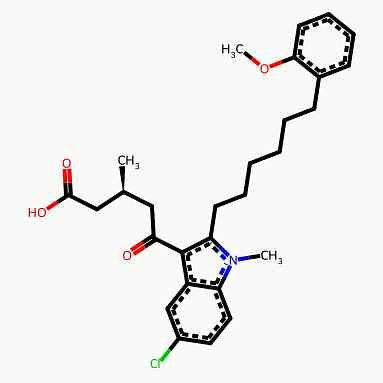 COc1ccccc1CCCCCCc1c(C(=O)C[C@H](C)CC(=O)O)c2cc(Cl)ccc2n1C